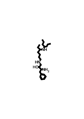 CCCC(CCC)NC(CC)CCCCNC[C@@H](O)[C@@H](N)Cc1ccccc1